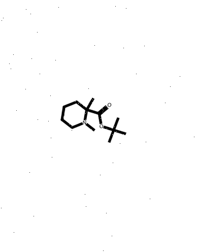 CN1CCCCC1(C)C(=O)OC(C)(C)C